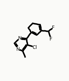 Cc1ncnc(C2=CC(C(F)F)=CCC2)c1Cl